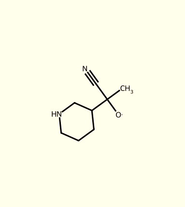 CC([O])(C#N)C1CCCNC1